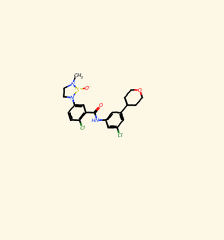 CN1CCN(c2ccc(Cl)c(C(=O)Nc3cc(Cl)cc(C4CCOCC4)c3)c2)[S+]1[O-]